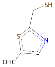 O=Cc1cnc(CS)s1